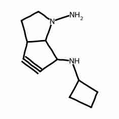 NN1CCC2C#CC(NC3CCC3)C21